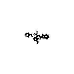 CCc1ccc(OCCc2cccnc2)c2c(C(=O)OC)cc(-c3sc4ccccc4c3C)nc12